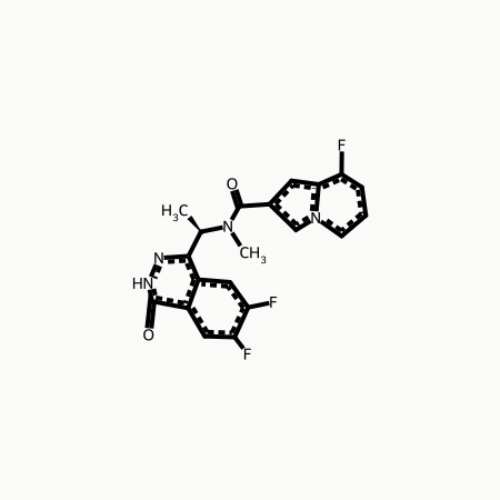 C[C@H](c1n[nH]c(=O)c2cc(F)c(F)cc12)N(C)C(=O)c1cc2c(F)cccn2c1